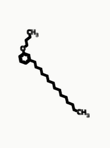 CCCCCCCCCCCCCCCc1cccc(OCCCC)c1